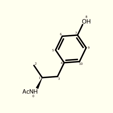 CC(=O)N[C@@H](C)Cc1ccc(O)cc1